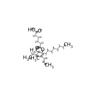 CCCCCCCCC(OC(=O)CCCCC(=O)O)(C(C)CCC)C(C)CCC